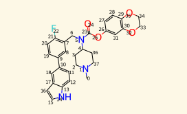 CN1CCC(N(Cc2cc(-c3ccc4[nH]ccc4c3)ccc2F)C(=O)Oc2ccc3c(c2)OCCO3)CC1